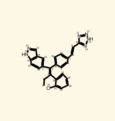 CC/C(=C(/c1ccc(/C=C/c2nn[nH]n2)cc1)c1ccc2[nH]ncc2c1)c1ccccc1Cl